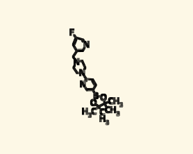 CC1(C)OB(c2ccc(N3CCN(Cc4cncc(F)c4)CC3)nc2)OC1(C)C